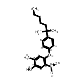 CCCCCC(C)(C)c1ccc(Oc2cc(N)c(O)cc2[N+](=O)[O-])cc1